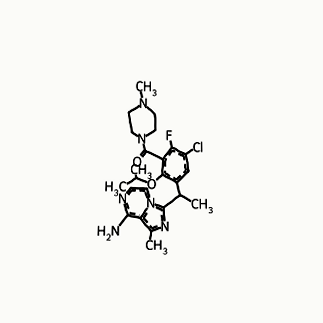 Cc1nc(C(C)c2cc(Cl)c(F)c(C(=O)N3CCN(C)CC3)c2OC(C)C)n2ccnc(N)c12